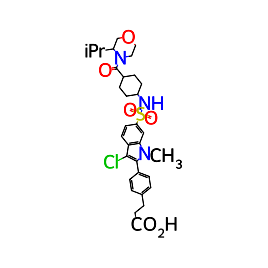 CC(C)C1COCCN1C(=O)C1CCC(NS(=O)(=O)c2ccc3c(Cl)c(-c4ccc(CCC(=O)O)cc4)n(C)c3c2)CC1